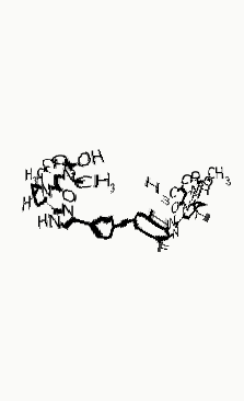 COC(=O)N[C@H](C(=O)N1[C@@H]2C[C@H]2C[C@H]1c1nc2c(F)cc(C#Cc3ccc(-c4c[nH]c([C@@H]5C[C@H]6C[C@H]6N5C(=O)[C@H](C(C)C)N(C)C(=O)O)n4)cc3)cc2[nH]1)C(C)C